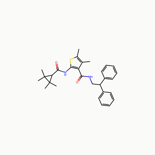 Cc1sc(NC(=O)C2C(C)(C)C2(C)C)c(C(=O)NCC(c2ccccc2)c2ccccc2)c1C